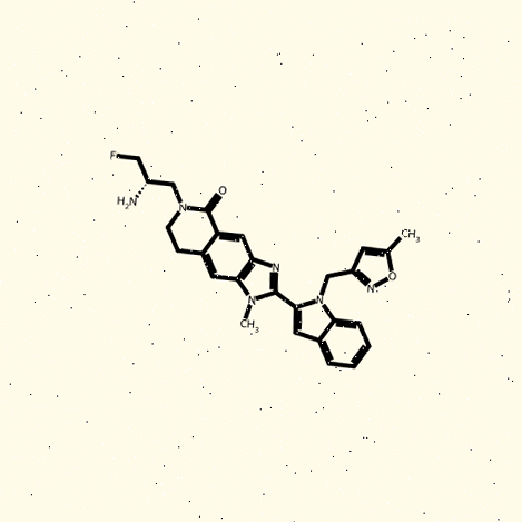 Cc1cc(Cn2c(-c3nc4cc5c(cc4n3C)CCN(C[C@H](N)CF)C5=O)cc3ccccc32)no1